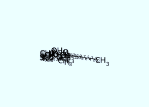 CCCCCCCCCCCCCCCCNC(=O)OCC(COP(O)Oc1cccc(C[n+]2csc(C)c2C)c1)OC(C)C